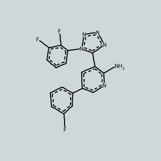 Nc1ncc(-c2cccc(F)c2)cc1-c1nnnn1-c1cccc(F)c1F